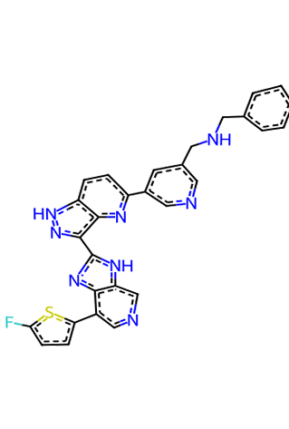 Fc1ccc(-c2cncc3[nH]c(-c4n[nH]c5ccc(-c6cncc(CNCc7ccccc7)c6)nc45)nc23)s1